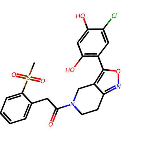 CS(=O)(=O)c1ccccc1CC(=O)N1CCc2noc(-c3cc(Cl)c(O)cc3O)c2C1